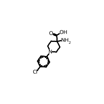 NC1(C(=O)O)CCN(c2ccc(Cl)cc2)CC1